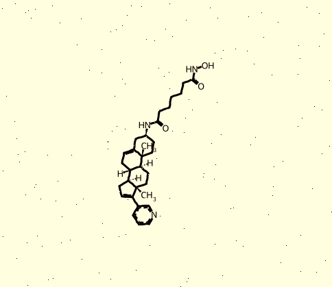 C[C@]12CC[C@H](NC(=O)CCCCCC(=O)NO)CC1=CC[C@@H]1[C@@H]2CC[C@]2(C)C(c3cccnc3)=CC[C@@H]12